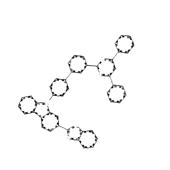 c1ccc(-c2cc(-c3ccccc3)nc(-c3cccc(-c4ccc(-n5c6ccccc6c6ccc(-c7nc8ccccc8s7)cc65)cc4)c3)n2)cc1